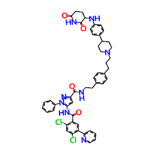 O=C1CCC(Nc2ccc(C3CCN(CCCc4ccc(CCNC(=O)c5cc(NC(=O)c6cc(-c7ccccn7)c(Cl)cc6Cl)n(-c6ccccc6)n5)cc4)CC3)cc2)C(=O)N1